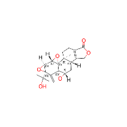 C=C1[C@@]2(C(C)(C)O)O[C@H]2[C@@H]2O[C@@]23[C@@]2(C)CCC4=C(COC4=O)[C@@H]2C[C@@H]2O[C@@]123